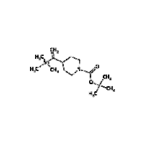 C=[C](C1CCN(C(=O)OC(C)(C)C)CC1)[Sn]([CH3])([CH3])[CH3]